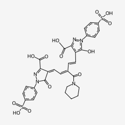 O=C(O)C1=NN(c2ccc(S(=O)(=O)O)cc2)C(=O)\C1=C/C=C(\C=C\c1c(C(=O)O)nn(-c2ccc(S(=O)(=O)O)cc2)c1O)C(=O)N1CCCCC1